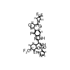 CCn1nccc1S(=O)(=O)N[C@H](c1nc2c(F)c([C@H]3COCC3C(=O)N3CC(F)(F)C3)ccc2[nH]1)C1CCC(C(F)(F)F)CC1